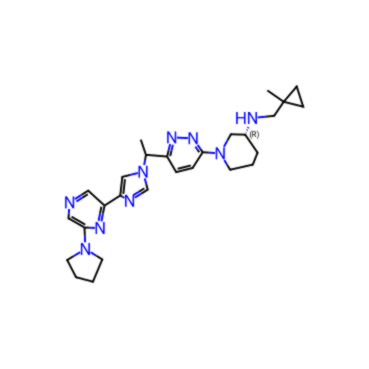 CC(c1ccc(N2CCC[C@@H](NCC3(C)CC3)C2)nn1)n1cnc(-c2cncc(N3CCCC3)n2)c1